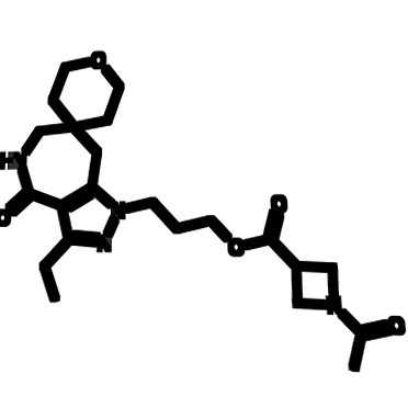 CCc1nn(CCCOC(=O)C2CN(C(C)=O)C2)c2c1C(=O)NCC1(CCOCC1)C2